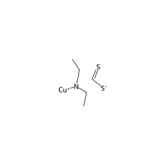 CC[N]([Cu+])CC.S=C[S-]